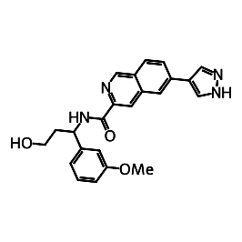 COc1cccc(C(CCO)NC(=O)c2cc3cc(-c4cn[nH]c4)ccc3cn2)c1